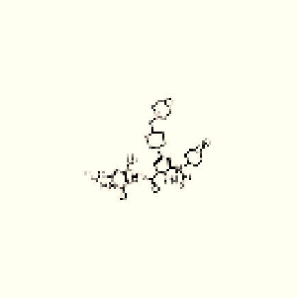 CCN(c1cc(C2CCC(CN3CCOCC3)CC2)cc(C(=O)NCc2c(C)cc(C)[nH]c2=O)c1C)C1CC[S+]([O-])CC1